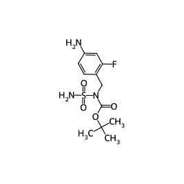 CC(C)(C)OC(=O)N(Cc1ccc(N)cc1F)S(N)(=O)=O